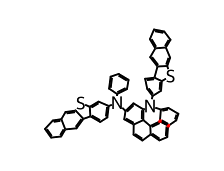 c1ccc(N(c2cc(N(c3ccccc3)c3ccc4c(c3)sc3cc5ccccc5cc34)c3c(ccc4ccccc43)c2)c2ccc3c(c2)sc2cc4ccccc4cc23)cc1